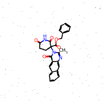 Cc1nc2cc3ccccc3cc2c(=O)n1C1(C(=O)OCc2ccccc2)CCC(=O)NC1=O